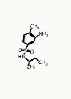 CCC(C)NS(=O)(=O)c1ccc(C)c(N)c1